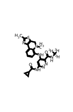 [2H]C([2H])([2H])NC(=O)c1nnc(NC(=O)C2CC2)cc1Nc1cccc2c1N(C)Cc1sc(C)nc1-2